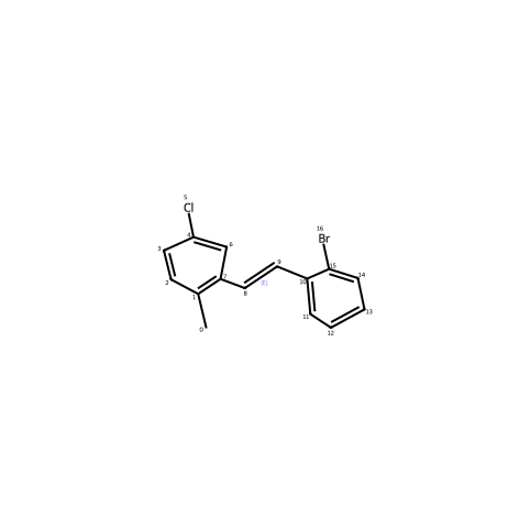 Cc1ccc(Cl)cc1/C=C/c1ccccc1Br